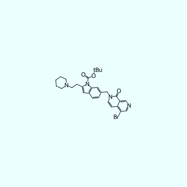 CC(C)(C)OC(=O)n1c(CCN2CCCCC2)cc2ccc(Cn3ccc4c(Br)cncc4c3=O)cc21